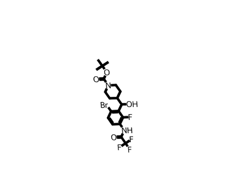 CC(C)(C)OC(=O)N1CCC(C(O)c2c(Br)ccc(NC(=O)C(F)(F)F)c2F)CC1